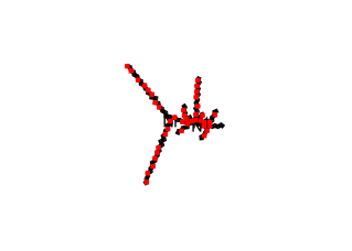 CCCCCCCCCCCCCCC1=C(c2cc(CCCCC)c(CCCCC)c(CCCCC)c2)[N+](=[N-])C(c2cc(CCCCC)c(CCCCC)c(CCCCC)c2)=C1CC.CCCCCCCCCCCCCCCCCCCCCCC[CH2][Ni][CH2]CCCCCCCCCCCCCCCCCCCCCCC